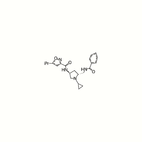 CC(C)c1cc(C(=O)N[C@H]2C[C@H](CNC(=O)c3ccccc3)N(C3CC3)C2)no1